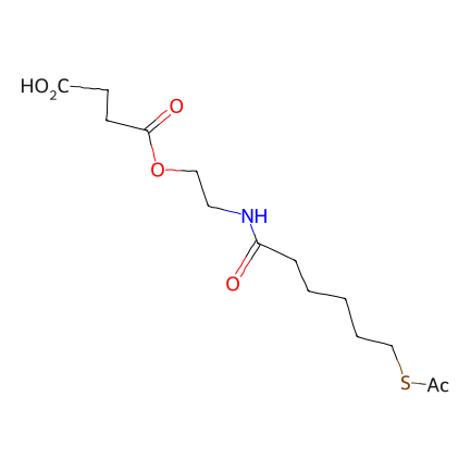 CC(=O)SCCCCCC(=O)NCCOC(=O)CCC(=O)O